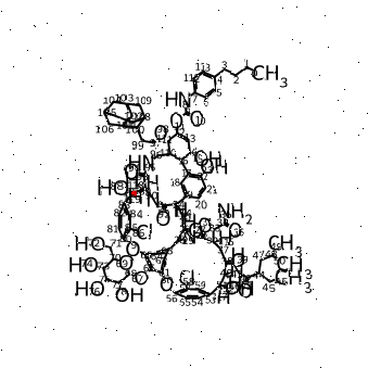 CCCCc1ccc(NC(=O)OC2=C[C@H](O)C3c4cc(ccc4O)[C@H]4CC(=O)C5NC(=O)[C@H](CC(N)=O)CC(=O)[C@H](NC(=O)[C@H](CC)CC(C)C)[C@H](O)c6ccc(c(Cl)c6)Oc6cc5cc(c6O[C@@H]5O[C@H](CO)[C@@H](O)[C@H](O)[C@H]5O)Oc5ccc(cc5Cl)[C@@H](O)[C@H](NC4=O)C(=O)N[C@H](C(=O)CC4C5CC6CC(C5)CC4C6)C3C2)cc1